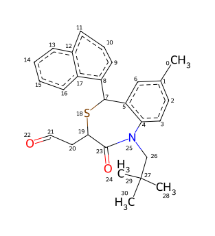 Cc1ccc2c(c1)C(c1cccc3ccccc13)SC(C[C]=O)C(=O)N2CC(C)(C)C